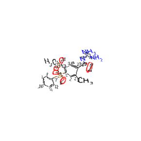 Cc1cc(S(=O)(=O)c2ccccc2)c(S(C)(=O)=O)cc1C(=O)N=C(N)N